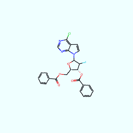 O=C(OCC1OC(n2ccc3c(Cl)ncnc32)C(F)[C@@H]1OC(=O)c1ccccc1)c1ccccc1